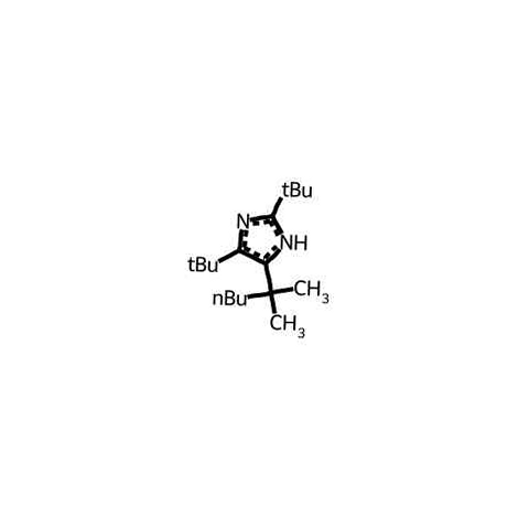 CCCCC(C)(C)c1[nH]c(C(C)(C)C)nc1C(C)(C)C